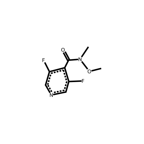 CON(C)C(=O)c1c(F)cncc1F